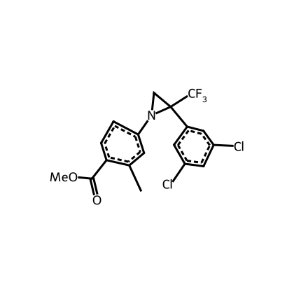 COC(=O)c1ccc(N2CC2(c2cc(Cl)cc(Cl)c2)C(F)(F)F)cc1C